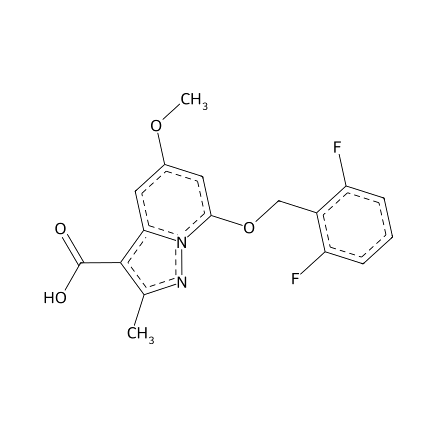 COc1cc(OCc2c(F)cccc2F)n2nc(C)c(C(=O)O)c2c1